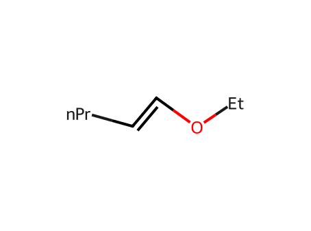 [CH2]COC=CCCC